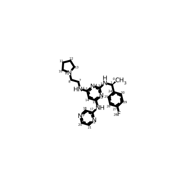 C[C@H](Nc1nc(NCCN2CCCC2)cc(Nc2cnccn2)n1)c1ccc(F)cc1